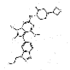 [2H]c1c(F)c(-c2ccc3nnn(CCF)c3c2)c2c(OC)nc(N[C@H]3CCN(C4COC4)C[C@@H]3F)nn12